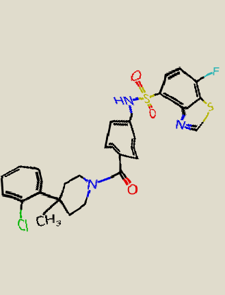 CC1(c2ccccc2Cl)CCN(C(=O)c2ccc(NS(=O)(=O)c3ccc(F)c4scnc34)cc2)CC1